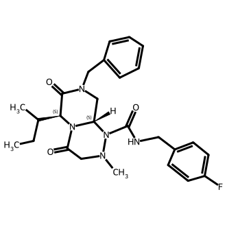 CCC(C)[C@H]1C(=O)N(Cc2ccccc2)C[C@H]2N1C(=O)CN(C)N2C(=O)NCc1ccc(F)cc1